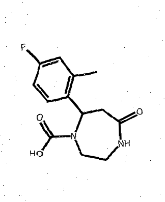 Cc1cc(F)ccc1C1CC(=O)NCCN1C(=O)O